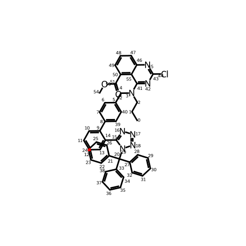 CCCN(Cc1ccc(-c2ccccc2-c2nnnn2C(c2ccccc2)(c2ccccc2)c2ccccc2)cc1)c1nc(Cl)nc2cccc(C(=O)OC)c12